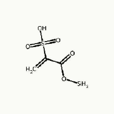 C=C(C(=O)O[SiH3])S(=O)(=O)O